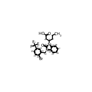 CCCC(CC(=O)O)n1c(=O)n(Cc2cc(C(F)(F)F)ccc2Br)c2ccccc21